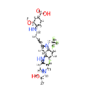 COc1cc(C(=O)O)ccc1NCCC#Cc1cc2c(N[C@@H]3CCN(CC(C)O)C[C@@H]3F)cccc2n1CC(F)(F)F